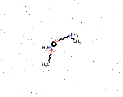 C=CCN(C)CCCCCCOc1ccc(N(C)C(=O)OCCCCCC)cc1